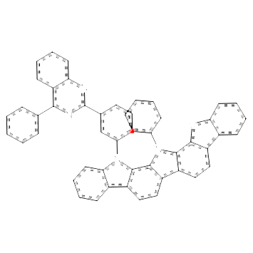 c1ccc(-c2nc(-c3cccc(-n4c5ccccc5c5ccc6c7ccc8c9ccccc9oc8c7n(-c7ccccc7)c6c54)c3)nc3ccccc23)cc1